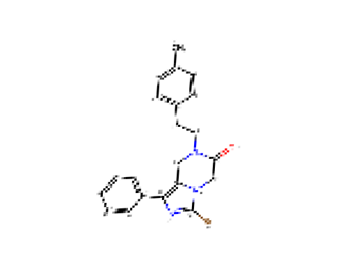 Cc1ccc(CCN2Cc3c(-c4ccccc4)nc(Br)n3CC2=O)cc1